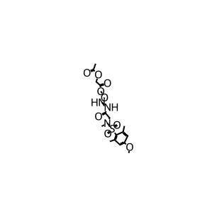 COc1cc(C)c(S(=O)(=O)N(C)CC(=O)NNOOC(=O)COC(C)=O)c(C)c1